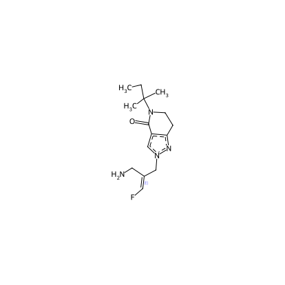 CCC(C)(C)N1CCc2nn(C/C(=C/F)CN)cc2C1=O